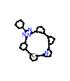 c1ccc(-c2nc3nc(n2)c2cccc(c2)c2cccc(c2)c2cccc(n2)c2cccc(c2)c2cccc3c2)cc1